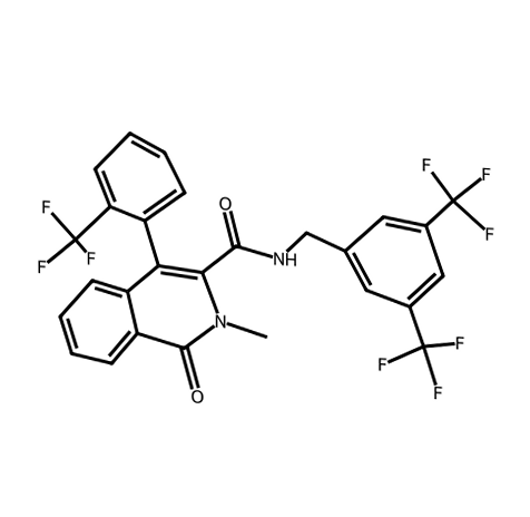 Cn1c(C(=O)NCc2cc(C(F)(F)F)cc(C(F)(F)F)c2)c(-c2ccccc2C(F)(F)F)c2ccccc2c1=O